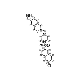 NCc1ccc2c(c1)CC[C@H](CN1CCN(S(=O)(=O)c3ccc4cc(Cl)ccc4c3)CC1)C2